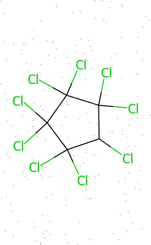 ClC1C(Cl)(Cl)C(Cl)(Cl)C(Cl)(Cl)C1(Cl)Cl